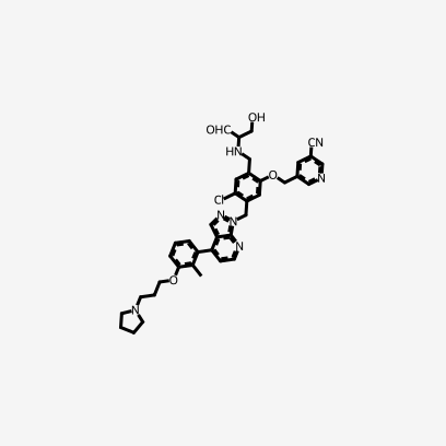 Cc1c(OCCCN2CCCC2)cccc1-c1ccnc2c1cnn2Cc1cc(OCc2cncc(C#N)c2)c(CNC(C=O)CO)cc1Cl